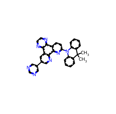 CC1(C)c2ccccc2N(c2ccc3c4nccnc4c4cc(-c5cncnc5)cnc4c3n2)c2ccccc21